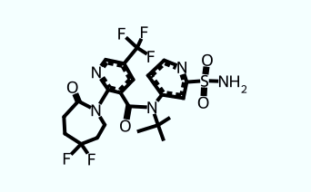 CC(C)(C)N(C(=O)c1cc(C(F)(F)F)cnc1N1CCC(F)(F)CCC1=O)c1ccnc(S(N)(=O)=O)c1